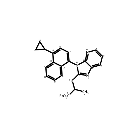 CCOC(=O)C(C)Sc1nc2cccnc2n1-c1ccc(C2CC2)c2ccccc12